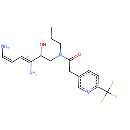 CCCN(CC(O)/C(N)=C/C=C\N)C(=O)Cc1ccc(C(F)(F)F)nc1